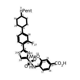 CCCCCC1CCC(c2ccc(-c3nc(S(=O)(=O)Nc4ccc(C(=O)O)cc4OC)cs3)c(F)c2)CC1